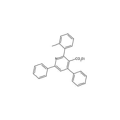 CCOC(=O)c1c(-c2ccccc2)cc(-c2ccccc2)nc1-c1ccccc1C